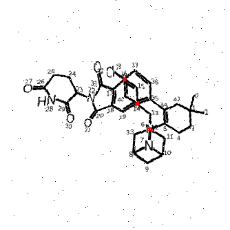 CC1(C)CCC(CN2C3CC2CN(Cc2ccc4c(c2)C(=O)N(C2CCC(=O)NC2=O)C4=O)C3)=C(c2ccc(Cl)cc2)C1